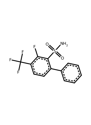 NS(=O)(=O)c1c(-c2ccccc2)ccc(C(F)(F)F)c1F